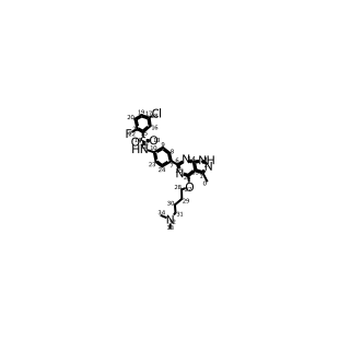 Cc1n[nH]c2nc(-c3ccc(NS(=O)(=O)c4cc(Cl)ccc4F)cc3)nc(OCCCCN(C)C)c12